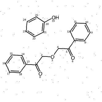 O=C(COCC(=O)c1ccccc1)c1ccccc1.Oc1ccccc1